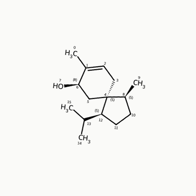 CC1=CC[C@]2(C[C@H]1O)[C@@H](C)CC[C@H]2C(C)C